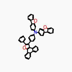 c1ccc(-c2oc3c4ccccc4c4ccccc4c3c2-c2ccc(N(c3ccc4c(c3)oc3ccccc34)c3ccc4c(c3)oc3ccccc34)cc2)cc1